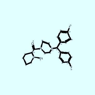 CCN1CCCC[C@H]1C(=O)N1CCN(C(c2ccc(F)cc2)c2ccc(F)cc2)CC1